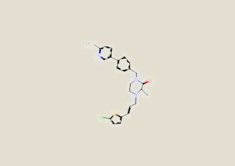 COc1ccc(-c2ccc(CN3CCN(C/C=C/c4ccc(Cl)s4)C(C)C3=O)cc2)cn1